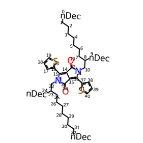 CCCCCCCCCCCCCCCCCC(CCCCCCCCCC)CN1C(=O)C2=C(c3cccs3)N(CC(CCCCCCCCCC)CCCCCCCCCCCCCCCCC)C(=O)C2=C1c1cccs1